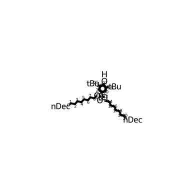 CCCCCCCCCCCCCCCCCCOP(=O)(OCCCCCCCCCCCCCCCCCC)c1cc(C(C)(C)C)c(O)c(C(C)(C)C)c1